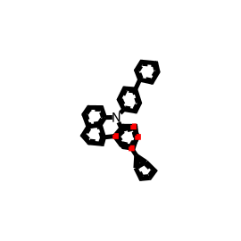 c1ccc(-c2ccc(N(c3ccc(-c4c5cccc4-5)cc3)c3cccc4cccc(-c5ccccc5)c34)cc2)cc1